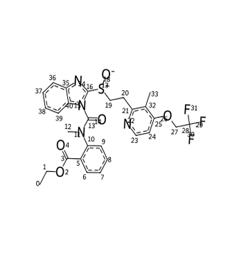 CCOC(=O)c1ccccc1N(C)C(=O)n1c([S+]([O-])CCc2nccc(OCC(F)(F)F)c2C)nc2ccccc21